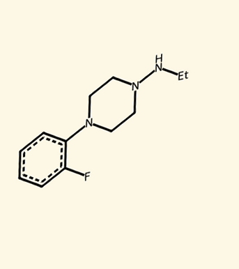 CCNN1CCN(c2ccccc2F)CC1